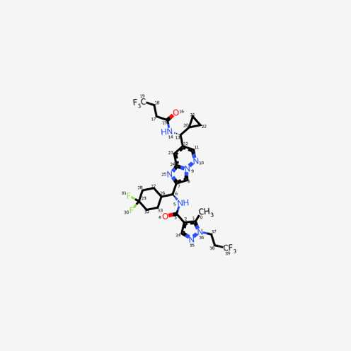 Cc1c(C(=O)N[C@H](c2cn3ncc([C@H](NC(=O)CCC(F)(F)F)C4CC4)cc3n2)C2CCC(F)(F)CC2)cnn1CCC(F)(F)F